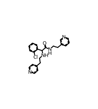 O=C(NCCc1cccnc1)C(NCCc1ccncc1)c1ccccc1Cl